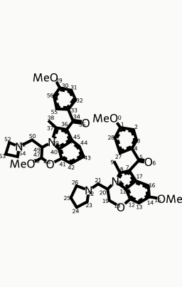 COc1ccc(C(=O)c2c(C)n3c4c(cc(OC)cc24)OCC3CN2CCCC2)cc1.COc1ccc(C(=O)c2c(C)n3c4c(cccc24)OC(OC)C3CN2CCC2)cc1